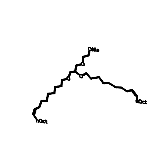 CCCCCCCC/C=C\CCCCCCCCOCC(COCCOC)OCCCCCCCC/C=C\CCCCCCCC